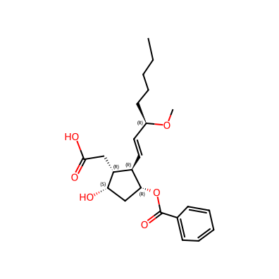 CCCCC[C@H](C=C[C@@H]1[C@@H](CC(=O)O)[C@@H](O)C[C@H]1OC(=O)c1ccccc1)OC